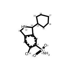 NS(=O)(=O)c1cc2c(cc1Cl)CNC2C1CCCCC1